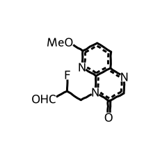 COc1ccc2ncc(=O)n(CC(F)C=O)c2n1